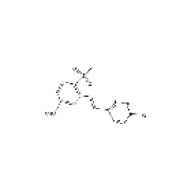 COc1ccc(S(C)(=O)=O)c(C=Cc2ccc(=O)[nH]n2)c1